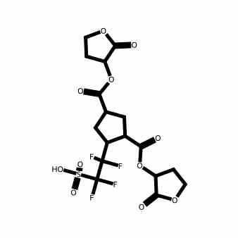 O=C(OC1CCOC1=O)C1CC(C(=O)OC2CCOC2=O)C(C(F)(F)C(F)(F)S(=O)(=O)O)C1